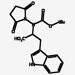 CC(C)(C)OC(=O)N(C(Cc1c[nH]c2ccccc12)C(=O)O)N1C(=O)CCC1=O